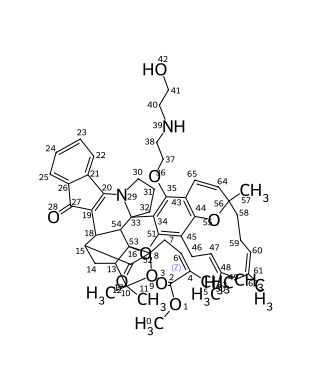 COC(=O)/C(C)=C\CC12OC(C)(C)C3CC(C1=O)C1C4=C(c5ccccc5C4=O)N4CCCC45c4c(OCCNCCO)c6c(c(CC=C(C)C)c4OC32C15)OC(C)(CCC=C(C)C)C=C6